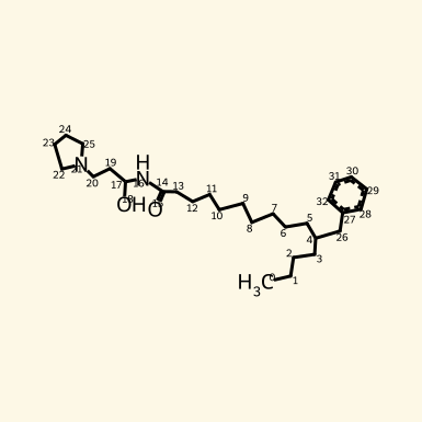 CCCCC(CCCCCCCCCC(=O)NC(O)CCN1CCCC1)Cc1ccccc1